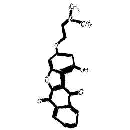 CN(C)CCOc1cc(O)c2c3c(oc2c1)C(=O)c1ccccc1C3=O